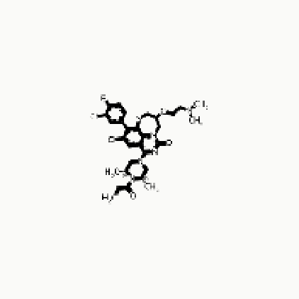 C=CC(=O)N1[C@H](C)CN(c2nc(=O)n3c4c(c(-c5ccc(F)c(Cl)c5)c(Cl)cc24)SCC(OCCN(C)C)C3)C[C@@H]1C